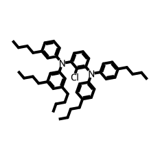 CCCCc1ccc(N(c2ccc(CCCC)cc2)c2cccc(N(c3cccc(CCCC)c3)c3cc(CCCC)cc(CCCC)c3)c2Cl)cc1